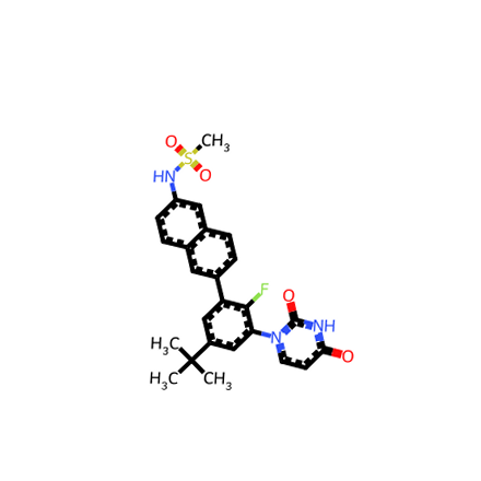 CC(C)(C)c1cc(-c2ccc3cc(NS(C)(=O)=O)ccc3c2)c(F)c(-n2ccc(=O)[nH]c2=O)c1